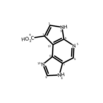 O=C(O)c1c[nH]c2ncc3[nH]cnc3c12